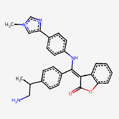 CC(CN)c1ccc(C(Nc2ccc(-c3cn(C)cn3)cc2)=C2C(=O)Oc3ccccc32)cc1